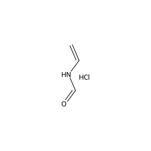 C=CNC=O.Cl